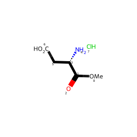 COC(=O)[C@@H](N)CC(=O)O.Cl